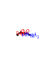 CC(C)(CCOC(C)(C)C(C)(C)C)OC(=O)CCC(=O)NCCCN